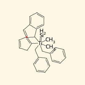 [CH3][Ti]([CH3])(=[SiH2])([CH2]c1ccccc1)([CH2]c1ccccc1)([C]1=CC=CC1)[CH]1C=Cc2ccccc21